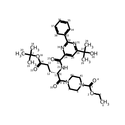 CCOC(=O)N1CCN(C(=O)[C@H](CCC(=O)OC(C)(C)C)NC(=O)c2cc(C(C)(C)O)nc(-c3ccccc3)n2)CC1